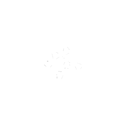 c1ccc(-c2cc(-c3ccccc3)nc(-n3c4ccccc4c4ccc5c6ccccc6oc5c43)c2)cc1